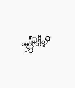 CC(C)CC(NC(=O)OC1(Cc2ccccc2)CC1)C(=O)NC(C=O)CC1CCNC1=O